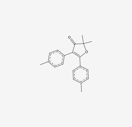 Cc1ccc(C2=C(c3ccc(C)cc3)C(=O)C(C)(C)O2)cc1